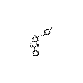 O=C(Nc1nc(OCc2ccc(F)cc2)ncc1F)c1ccccc1